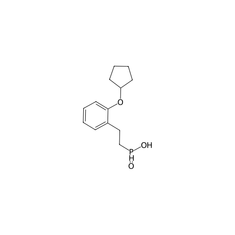 O=[PH](O)CCc1ccccc1OC1CCCC1